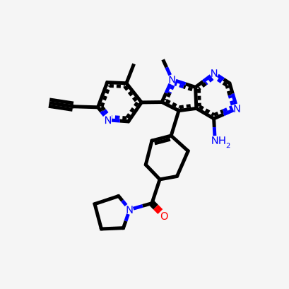 C#Cc1cc(C)c(-c2c(C3=CCC(C(=O)N4CCCC4)CC3)c3c(N)ncnc3n2C)cn1